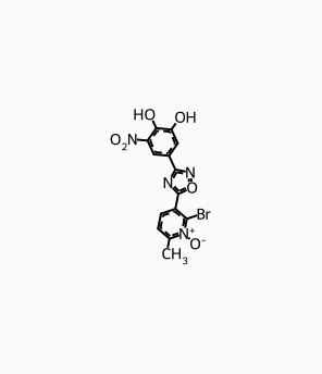 Cc1ccc(-c2nc(-c3cc(O)c(O)c([N+](=O)[O-])c3)no2)c(Br)[n+]1[O-]